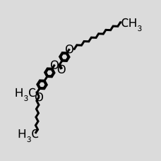 CCCCCCCCCCCCCCCOc1ccc(C(=O)Oc2ccc(-c3ccc(C(C)OCCCCCCCCC)cc3)cc2)cc1